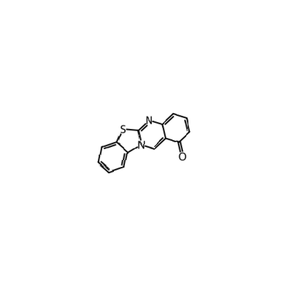 O=c1cccc2nc3sc4ccccc4n3cc1-2